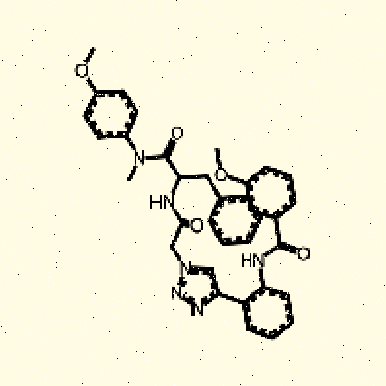 COc1ccc(N(C)C(=O)C(Cc2ccccc2)NC(=O)Cn2cc(-c3ccccc3NC(=O)c3cccc(OC)c3)nn2)cc1